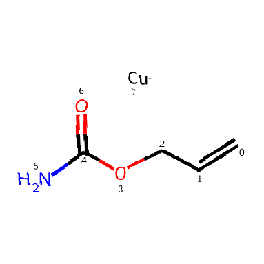 C=CCOC(N)=O.[Cu]